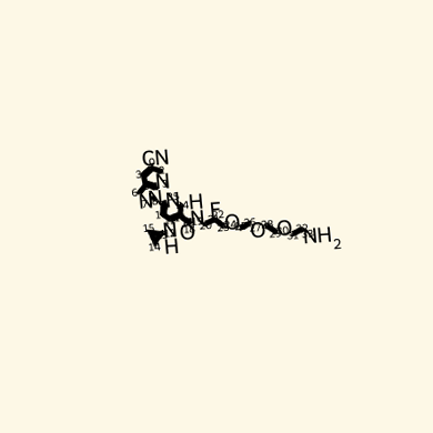 N#Cc1cnc2c(cnn2-c2cc(NC3CC3)c(C(=O)NCC(F)COCCOCCOCCN)cn2)c1